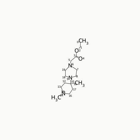 CCOC(=O)CN1CCN(C2(C)CCN(C)CC2)CC1